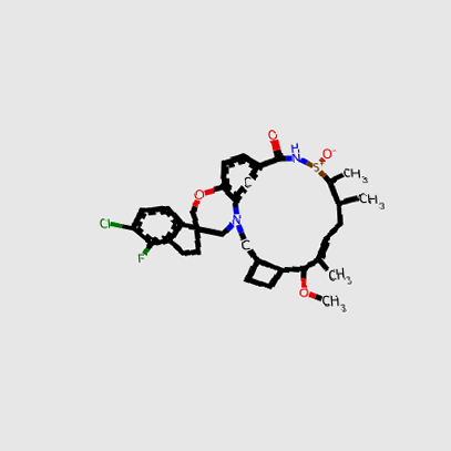 COC1/C(C)=C/CC(C)C(C)[S+]([O-])NC(=O)c2ccc3c(c2)N(CC2CCC21)CC1(CCc2c1ccc(Cl)c2F)CO3